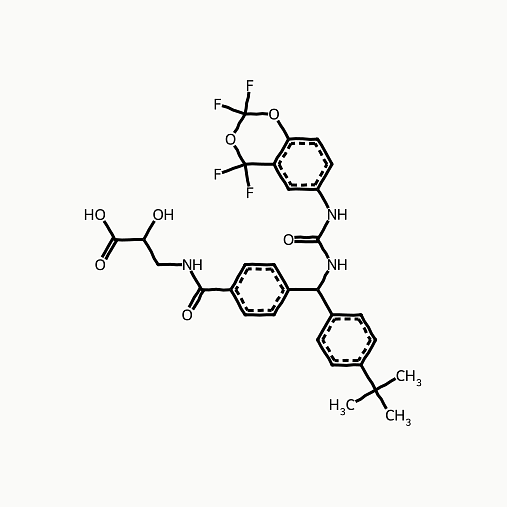 CC(C)(C)c1ccc(C(NC(=O)Nc2ccc3c(c2)C(F)(F)OC(F)(F)O3)c2ccc(C(=O)NCC(O)C(=O)O)cc2)cc1